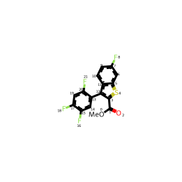 COC(=O)c1sc2cc(F)ccc2c1-c1cc(F)c(F)cc1F